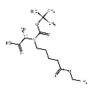 CCOC(=O)CCCCN(C(=O)OC(C)(C)C)[C@@H](C)C(=O)O